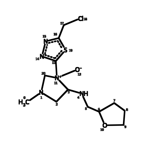 CN1CC(NCC2CCCO2)[N+]([O-])(c2nnc(CCl)s2)C1